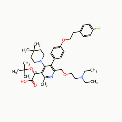 CCN(CC)CCOCc1nc(C)c([C@H](OC(C)(C)C)C(=O)O)c(N2CCC(C)(C)CC2)c1-c1ccc(OCCc2ccc(F)cc2)cc1